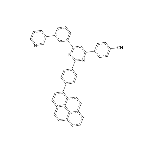 N#Cc1ccc(-c2cc(-c3cccc(-c4cccnc4)c3)nc(-c3ccc(-c4ccc5ccc6cccc7ccc4c5c67)cc3)n2)cc1